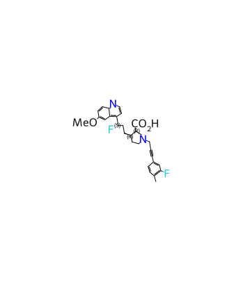 COc1ccc2nccc([C@@H](F)CC[C@@H]3CCN(CC#Cc4ccc(C)c(F)c4)C[C@@H]3C(=O)O)c2c1